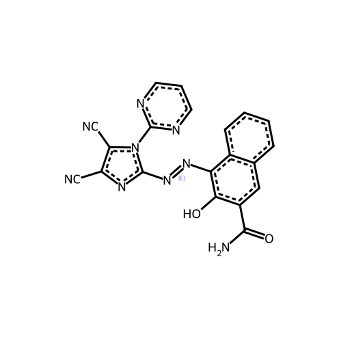 N#Cc1nc(/N=N/c2c(O)c(C(N)=O)cc3ccccc23)n(-c2ncccn2)c1C#N